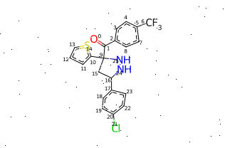 O=C(c1ccc(C(F)(F)F)cc1)C1(c2cccs2)CC(c2ccc(Cl)cc2)NN1